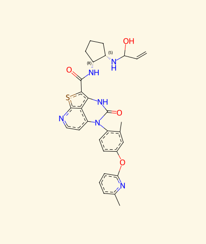 C=CC(O)N[C@H]1CCC[C@H]1NC(=O)c1sc2nccc3c2c1NC(=O)N3c1ccc(Oc2cccc(C)n2)cc1C